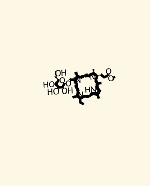 CCC1=C(C)c2cc3[nH]c(cc4nc(c(C)c5cc(C)c(cc1n2)[nH]5)[C@@H](CCC(=O)OC)[C@@H]4C)c(C)c3CO[C@@H]1O[C@H](CO)[C@@H](O)[C@H](O)[C@H]1O